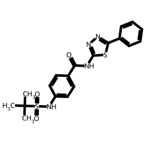 CC(C)(C)S(=O)(=O)Nc1ccc(C(=O)Nc2nnc(-c3ccccc3)s2)cc1